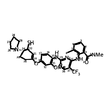 CNC(=O)c1cccc(C)c1Nc1nc(Nc2ccc(OC3=CC(S)[C@@H](N4CCCC4)CC3)cc2OC)ncc1C(F)(F)F